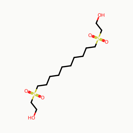 O=S(=O)(CCO)CCCCCCCCCCS(=O)(=O)CCO